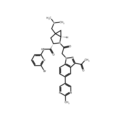 CC(=O)c1nn(CC(=O)N2[C@H](C(=O)Nc3cccc(Br)n3)CC3(CN(C)C)C[C@@H]23)c2ccc(-c3cnc(C)nc3)cc12